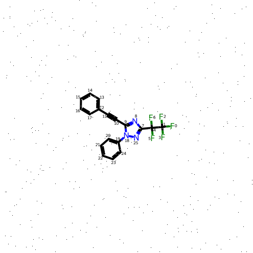 FC(F)(F)C(F)(F)c1nc(C#Cc2ccccc2)n(-c2ccccc2)n1